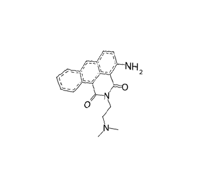 CN(C)CCN1C(=O)c2c(N)ccc3cc4ccccc4c(c23)C1=O